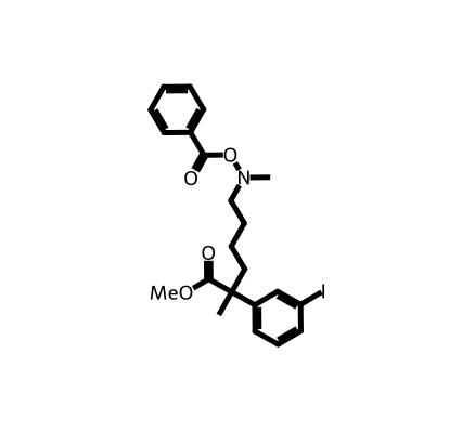 COC(=O)C(C)(CCCCN(C)OC(=O)c1ccccc1)c1cccc(I)c1